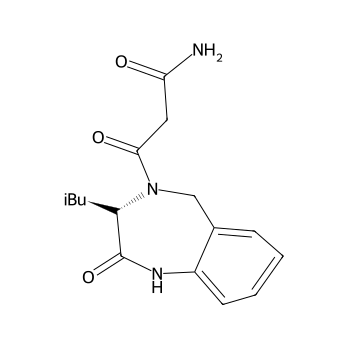 CC[C@H](C)[C@H]1C(=O)Nc2ccccc2CN1C(=O)CC(N)=O